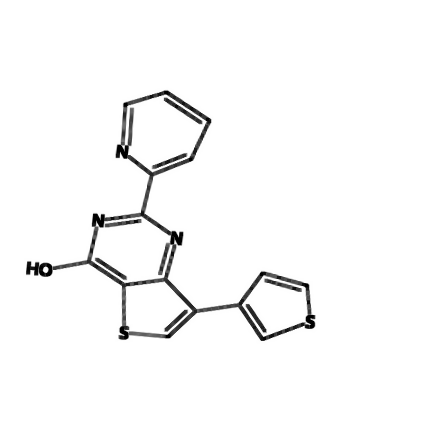 Oc1nc(-c2ccccn2)nc2c(-c3ccsc3)csc12